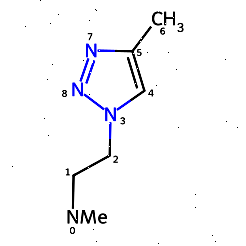 CNCCn1cc(C)nn1